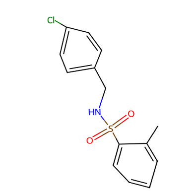 Cc1ccccc1S(=O)(=O)NCc1ccc(Cl)cc1